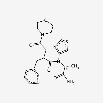 C[C@H](C(N)=O)N(C(=O)C(CC(=O)N1CCOCC1)Cc1ccccc1)c1cscn1